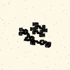 CN(C)Cc1c(OCc2ccc(Cl)c(Cl)c2)ccc2c(CCC3CCN(CC4OCCO4)CC3)noc12.O=C(O)/C=C/C(=O)O.O=C(O)/C=C/C(=O)O